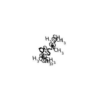 CN(CCC(Oc1cccc(B2OC(C)(C)C(C)(C)O2)c1)c1cccs1)C(=O)OCCS(C)(C)C